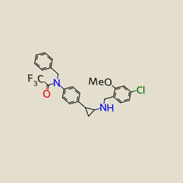 COc1cc(Cl)ccc1CNC1CC1c1ccc(N(Cc2ccccc2)C(=O)C(F)(F)F)cc1